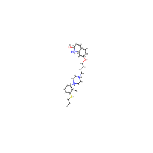 CCCSc1cccc(N2CCN(CCCCOc3ccc4ccc(=O)[nH]c4c3)CC2)c1C